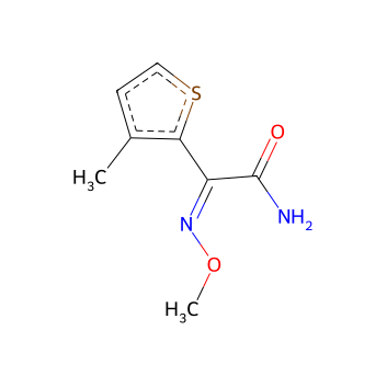 CON=C(C(N)=O)c1sccc1C